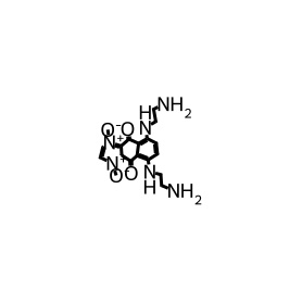 NCCNc1ccc(NCCN)c2c1C(=O)c1c([n+]([O-])cc[n+]1[O-])C2=O